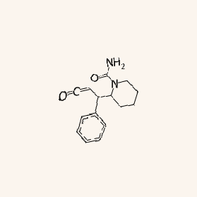 NC(=O)N1CCCCC1C(C=C=O)c1ccccc1